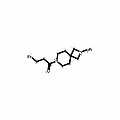 CCCN1CC2(CCN(C(=O)CCC(C)C)CC2)C1